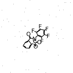 O=C1c2ccccc2S(=O)(=O)N1c1c(F)c(F)c(F)c(F)c1F